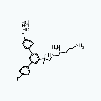 CC(C)(CNC[C@@H](N)CCCN)c1cc(-c2ccc(F)cc2)cc(-c2ccc(F)cc2)c1.Cl.Cl.Cl